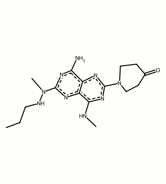 CCCNN(C)c1nc(N)c2nc(N3CCC(=O)CC3)nc(NC)c2n1